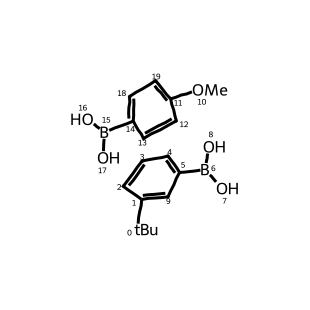 CC(C)(C)c1cccc(B(O)O)c1.COc1ccc(B(O)O)cc1